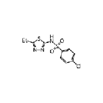 CCc1nnc(NS(=O)(=O)c2ccc(Cl)cc2)s1